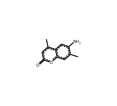 Cc1cc2oc(=O)cc(C)c2cc1N